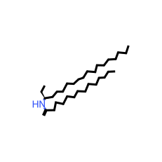 C=C(CCCCCCCCCCCCC)N[C@@H](CC)CCCCCCCCCCCCCCCC